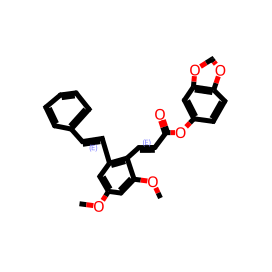 COc1cc(/C=C/c2ccccc2)c(/C=C/C(=O)Oc2ccc3c(c2)OCO3)c(OC)c1